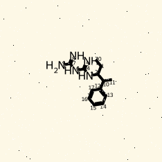 CCC(NC(=N)NC(=N)N)C(C)c1ccccc1